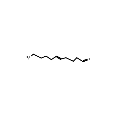 CCCCC/C=C/CCC[C]=O